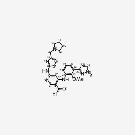 CCC(=O)c1cnc(Nc2nc(CN3CCCC3)ns2)cc1Nc1cccc(-c2ncn(C)n2)c1OC